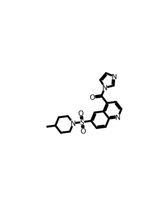 CC1CCN(S(=O)(=O)c2ccc3nccc(C(=O)n4ccnc4)c3c2)CC1